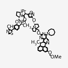 COCOc1cc2c3c(cccc3c1)C(C)c1c-2ncc2c(N3CCCCCC3)nc(OCC34CCCN3[C@H](COc3cc(C(C(=O)N5CCC[C@H]5C(=O)N[C@@H](C)c5ccc(-c6scnc6C)cc5)C(C)C)on3)CC4)nc12